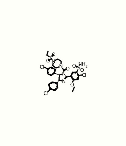 CCOc1cc(Cl)c(S(N)(=O)=O)cc1C1=N[C@@H](c2ccc(Cl)cc2)[C@@H](c2ccc(Cl)cc2)N1C(=O)N1CCN(S(=O)(=O)CC)CC1